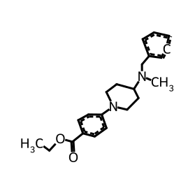 CCOC(=O)c1ccc(N2CCC(N(C)Cc3ccccc3)CC2)cc1